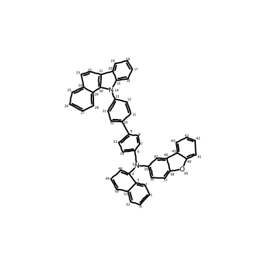 c1ccc2c(N(c3ccc(-c4ccc(-n5c6ccccc6c6ccc7ccccc7c65)cc4)cc3)c3ccc4oc5ccccc5c4c3)cccc2c1